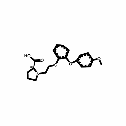 COc1ccc(Oc2ccccc2OCCN2CCC[C@H]2C(=O)O)cc1